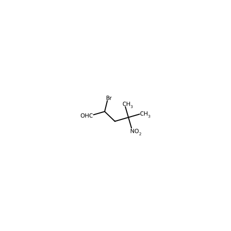 CC(C)(CC(Br)C=O)[N+](=O)[O-]